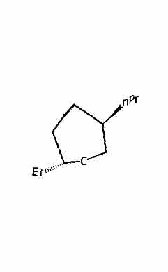 CCC[C@H]1CC[C@H](CC)CC1